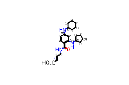 O=C(O)/C=C/CNC(=O)c1ccc(NC2CCCCC2)cc1NC1CCCC1